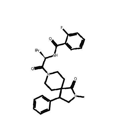 CC(C)[C@@H](NC(=O)c1ccccc1F)C(=O)N1CCC2(CC1)C(=O)N(C)CC2c1ccccc1